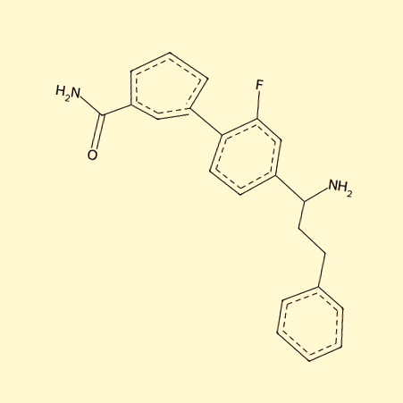 NC(=O)c1cccc(-c2ccc(C(N)CCc3ccccc3)cc2F)c1